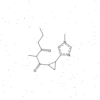 CCCC(=O)C(C)C(=O)C1CC1c1cn(C)cn1